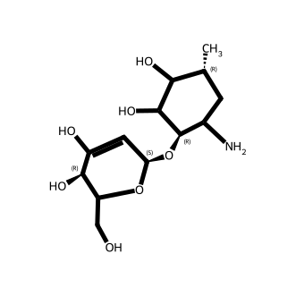 C[C@@H]1CC(N)[C@@H](O[C@@H]2C=C(O)[C@H](O)C(CO)O2)C(O)C1O